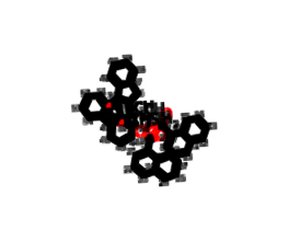 [CH3][Ti]([CH3])(=[SiH2])([O]C(=O)c1cccc2ccccc12)([O]C(=O)c1cccc2ccccc12)([c]1cccc2c1Cc1ccccc1-2)[c]1cccc2c1Cc1ccccc1-2